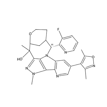 Cc1noc(C)c1-c1cnc2c3c4c(nn3C)C(C)(O)C3CC(CCO3)[C@H](c3ncccc3F)n4c2c1